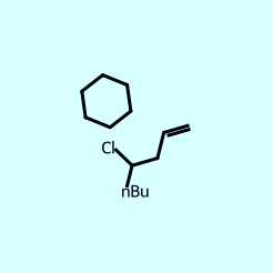 C1CCCCC1.C=CCC(Cl)CCCC